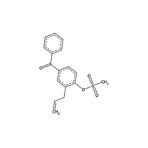 C=CCc1cc(C(=O)c2ccccc2)ccc1OS(C)(=O)=O